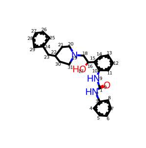 O=C(Nc1ccccc1)Nc1ccccc1C(O)CN1CCC(Cc2ccccc2)CC1